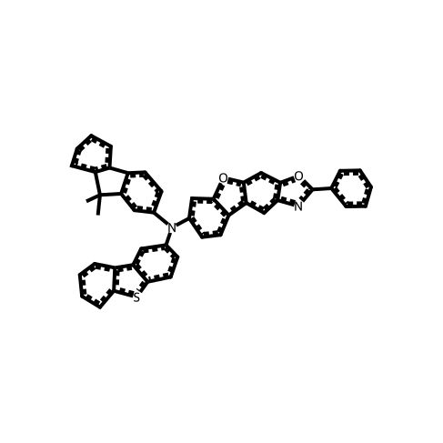 CC1(C)c2ccccc2-c2ccc(N(c3ccc4c(c3)oc3cc5oc(-c6ccccc6)nc5cc34)c3ccc4sc5ccccc5c4c3)cc21